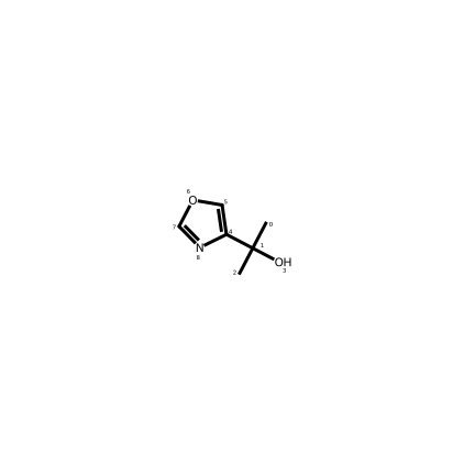 CC(C)(O)c1cocn1